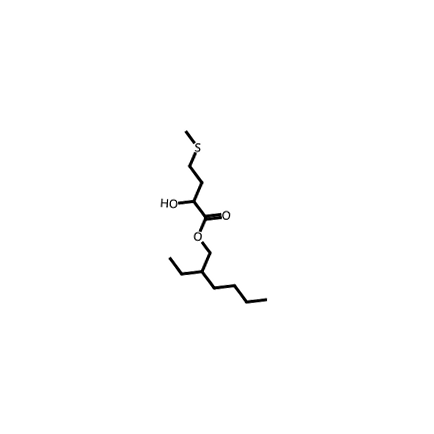 CCCCC(CC)COC(=O)C(O)CCSC